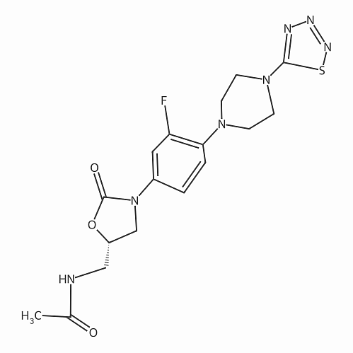 CC(=O)NC[C@H]1CN(c2ccc(N3CCN(c4nnns4)CC3)c(F)c2)C(=O)O1